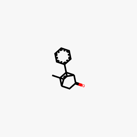 CC1=C(c2ccccc2)C2CCC1CC2=O